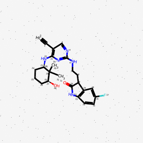 C#Cc1cnc(NCCC2C(=O)Nc3ccc(F)cc32)nc1N[C@@H]1CCC[C@H](O)C1(C)C